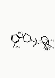 COc1cccc(C2(O)CCN(S(=O)(=O)C[C@@]34CC[C@@H](CC3O)C4(C)C)CC2)c1